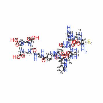 CSCC[C@H](NC(=O)[C@H](CC(C)C)NC(=O)[C@H](Cc1c[nH]cn1)NC(=O)CNC(=O)[C@@H](NC(=O)[C@H](C)NC(=O)[C@H](Cc1c[nH]c2ccccc12)NC(=O)[C@H](CCC(N)=O)NC(=O)c1ccc(C(=O)NCCNC(=O)CN2CCN(CC(=O)O)CCN(CC(=O)O)CCN(CC(=O)O)CC2)cc1)C(C)C)C(N)=O